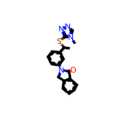 CC(Sc1nncn1C)c1cccc(N2Cc3ccccc3C2=O)c1